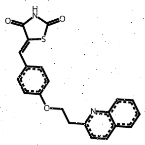 O=C1NC(=O)C(=Cc2ccc(OCCc3ccc4ccccc4n3)cc2)S1